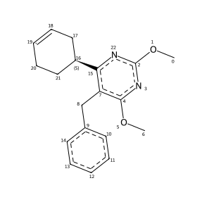 COc1nc(OC)c(Cc2ccccc2)c([C@@H]2CC=[C]CC2)n1